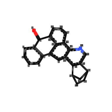 O=C1c2ccccc2-c2cc3c4c(cnc3c3cccc1c23)C1CCC4C1